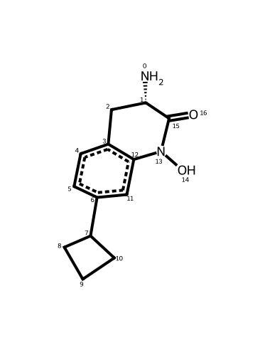 N[C@H]1Cc2ccc(C3CCC3)cc2N(O)C1=O